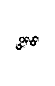 O=C1N(c2cccc3ncccc23)CC[C@@]12CCCN(c1ncccc1Cl)C2